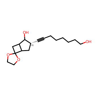 OCCCCCCC#C[C@@H]1CC2C(CC23OCCO3)C1O